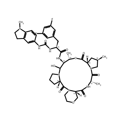 C[C@@H]1C[C@H]2C(=O)O[C@@H](C)[C@H](NC(=O)[C@H](Cc3cc(F)cc(F)c3)NC(=O)Nc3ccc4c(c3)CCN4C)C(O)N3CCC[C@H]3C(=O)N3CCOC[C@H]3C(=O)N[C@@H](C)C(=O)N2C1